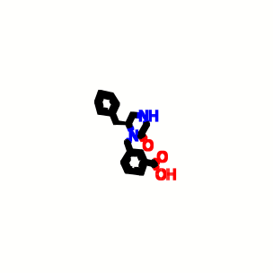 O=C(O)c1cccc(CN2C(=O)CNC[C@@H]2Cc2ccccc2)c1